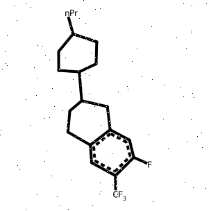 CCCC1CCC(C2CCc3cc(C(F)(F)F)c(F)cc3C2)CC1